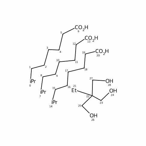 CC(C)CCCCCC(=O)O.CC(C)CCCCCC(=O)O.CC(C)CCCCCC(=O)O.CCC(CO)(CO)CO